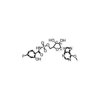 COc1ncnc2c1ncn2[C@@H]1OC(COS(=O)(=O)NC(=O)c2ccc(F)cc2O)[C@@H](O)[C@H]1O